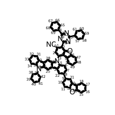 N#Cc1cc(-n2c3ccc(-c4ccc5oc6ccccc6c5c4)cc3c3cc4c(cc32)c2ccccc2n4-c2ccccc2)c2c(oc3ccccc32)c1-c1nc(-c2ccccc2)nc(-c2ccccc2)n1